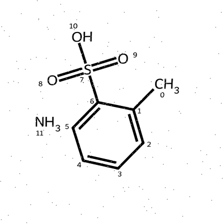 Cc1ccccc1S(=O)(=O)O.N